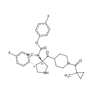 CN(C(=O)Oc1ccc(F)cc1)[C@@]1(C(=O)C2CCN(C(=O)C3(C)CC3)CC2)CNC[C@@H]1c1ccc(F)cc1